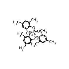 Cc1cc(C)c(OP(=O)(Oc2c(C)cc(C)cc2C)Oc2c(C)cc(C)cc2C)c(C)c1